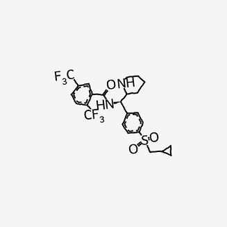 O=C(N[C@H](c1ccc(S(=O)(=O)CC2CC2)cc1)C1CCCCN1)c1cc(C(F)(F)F)ccc1C(F)(F)F